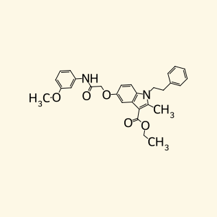 CCOC(=O)c1c(C)n(CCc2ccccc2)c2ccc(OCC(=O)Nc3cccc(OC)c3)cc12